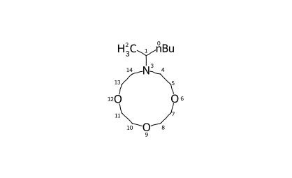 CCCCC(C)N1CCOCCOCCOCC1